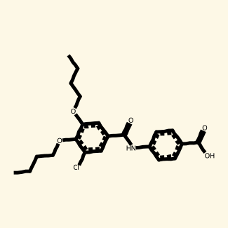 CCCCOc1cc(C(=O)Nc2ccc(C(=O)O)cc2)cc(Cl)c1OCCCC